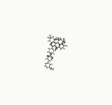 CC(=O)c1cccc(-c2cnc(N3CCC(c4nc5c(c(C6CCC(F)(F)CC6)c4[C@@H](F)c4ccc(C)cc4)[C@@H](O)CC(C)(C)C5)CC3)nc2)c1